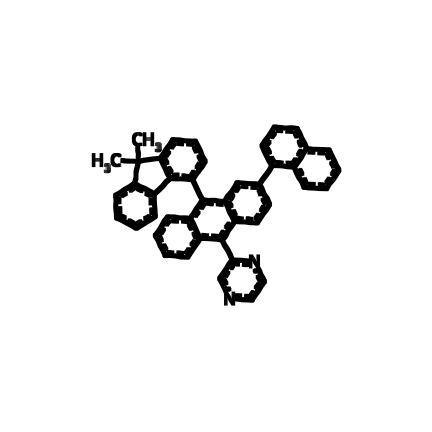 CC1(C)c2ccccc2-c2c(-c3c4ccccc4c(-c4cnccn4)c4ccc(-c5cccc6ccccc56)cc34)cccc21